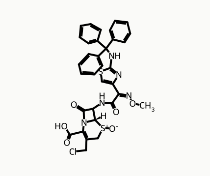 CO/N=C(\C(=O)NC1C(=O)N2C(C(=O)O)=C(CCl)C[S+]([O-])[C@@H]12)c1csc(NC(c2ccccc2)(c2ccccc2)c2ccccc2)n1